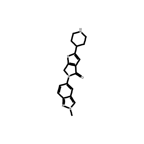 Cn1cc2cc(N3Cc4sc(C5CCNCC5)cc4C3=O)ccc2n1